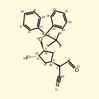 CC(C)(C)[Si](O[C@H]1C[C@@H](C(C#N)C=O)C[C@@H]1F)(c1ccccc1)c1ccccc1